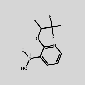 CC(Oc1ncccc1[NH+]([O-])O)C(F)(F)F